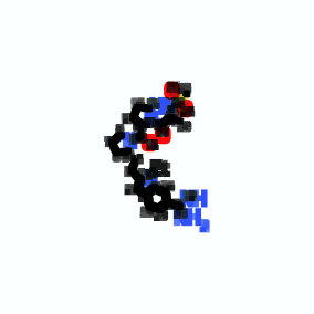 CCn1c(CC[C@@H]2CCCN2C(=O)[C@H]2CCCN2C(=O)[C@H](C)NS(C)(=O)=O)cc2ccc(C(=N)N)cc21